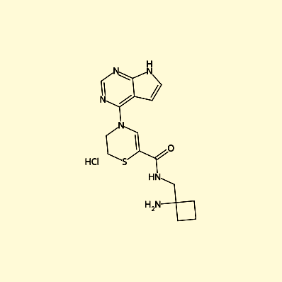 Cl.NC1(CNC(=O)C2=CN(c3ncnc4[nH]ccc34)CCS2)CCC1